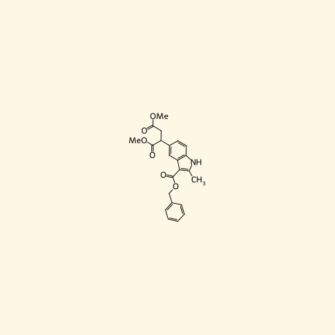 COC(=O)CC(C(=O)OC)c1ccc2[nH]c(C)c(C(=O)OCc3ccccc3)c2c1